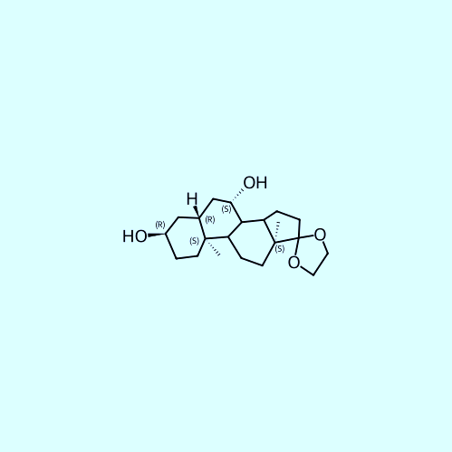 C[C@]12CCC3C(C1CCC21OCCO1)[C@@H](O)C[C@H]1C[C@H](O)CC[C@]31C